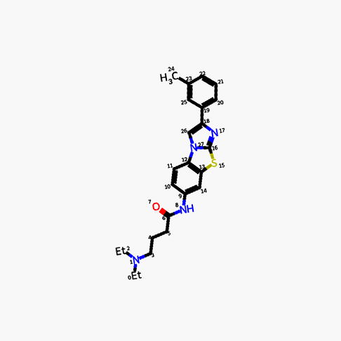 CCN(CC)CCCC(=O)Nc1ccc2c(c1)sc1nc(-c3cccc(C)c3)cn12